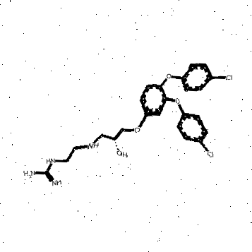 N=C(N)NCCNC[C@@H](O)COc1ccc(Oc2ccc(Cl)cc2)c(Oc2ccc(Cl)cc2)c1